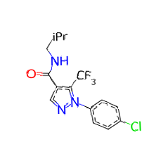 CC(C)CNC(=O)c1cnn(-c2ccc(Cl)cc2)c1C(F)(F)F